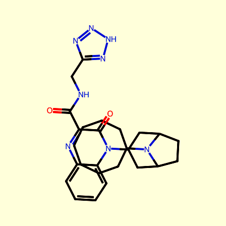 O=C(NCc1nn[nH]n1)c1nc2ccccc2n(C2CC3CCC(C2)N3C2CCCCCCC2)c1=O